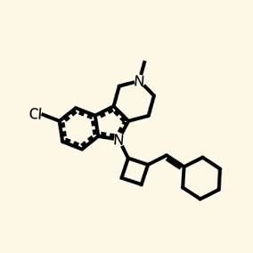 CN1CCc2c(c3cc(Cl)ccc3n2C2CCC2C=C2CCCCC2)C1